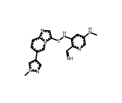 CNc1cnc(C=N)c(NSc2cnc3ccc(-c4cnn(C)c4)cn23)c1